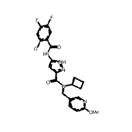 COc1ccc(CN(C(=O)c2cc(NC(=O)c3cc(F)c(F)cc3Cl)[nH]n2)C2CCC2)cn1